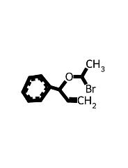 C=CC(OC(C)Br)c1ccccc1